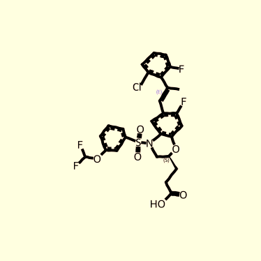 C/C(=C\c1cc2c(cc1F)O[C@@H](CCC(=O)O)CN2S(=O)(=O)c1cccc(OC(F)F)c1)c1c(F)cccc1Cl